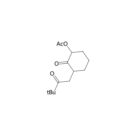 CC(=O)OC1CCCC(CC(=O)C(C)(C)C)C1=O